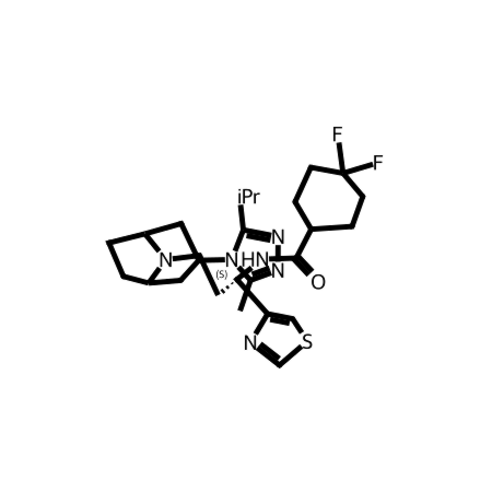 Cc1nnc(C(C)C)n1C1CC2CCC(C1)N2CC[C@H](NC(=O)C1CCC(F)(F)CC1)c1cscn1